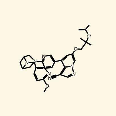 COc1ccc(CN2C3CC2CN(c2ccc(-c4cc(OCC(C)(C)OC(C)C)cn5ncc(C#N)c45)cn2)C3)cn1